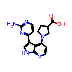 Nc1nccc(-c2c[nH]c3nccc(N4CCC(C(=O)O)C4)c23)n1